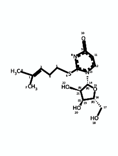 CC(C)=CCCSc1nc(=O)ccn1[C@@H]1O[C@H](CO)[C@@H](O)[C@H]1O